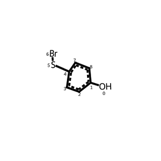 Oc1ccc(SBr)cc1